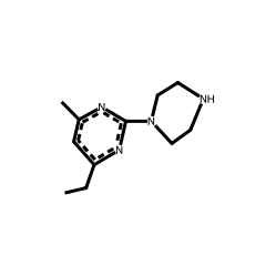 CCc1cc(C)nc(N2CCNCC2)n1